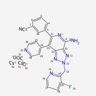 N#Cc1cccc(-c2nc(N)c3nn(Cc4ncccc4F)nc3c2-c2ccncc2)c1.O=C([O-])[O-].[Cs+].[Cs+]